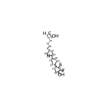 CC(O)CCCC=Cc1ccc(-c2ccc(-c3ccc(O)c(F)c3F)cc2)nc1